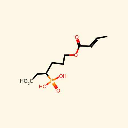 CC=CC(=O)OCCCC(CC(=O)O)P(=O)(O)O